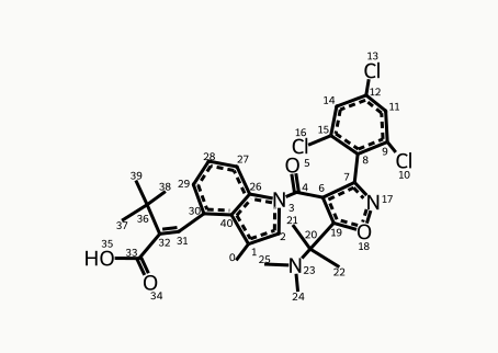 Cc1cn(C(=O)c2c(-c3c(Cl)cc(Cl)cc3Cl)noc2C(C)(C)N(C)C)c2cccc(/C=C(/C(=O)O)C(C)(C)C)c12